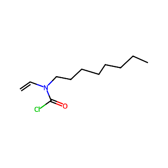 C=CN(CCCCCCCC)C(=O)Cl